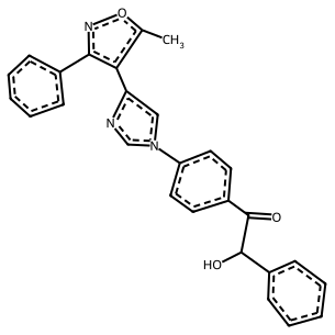 Cc1onc(-c2ccccc2)c1-c1cn(-c2ccc(C(=O)C(O)c3ccccc3)cc2)cn1